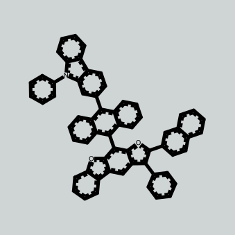 c1ccc(-c2c(-c3ccc4ccccc4c3)oc3c(-c4c5ccccc5c(-c5ccc6c7ccccc7n(-c7ccccc7)c6c5)c5ccccc45)c4oc5ccccc5c4cc23)cc1